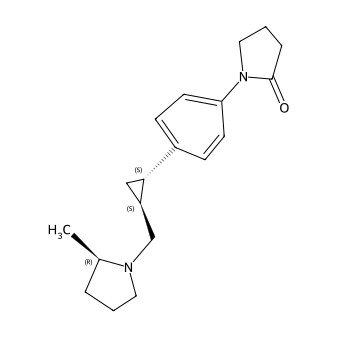 C[C@@H]1CCCN1C[C@H]1C[C@@H]1c1ccc(N2CCCC2=O)cc1